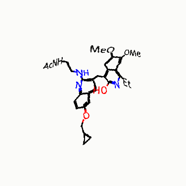 CCc1nc(O)c(Cc2cc3cc(OCC4CC4)ccc3nc2NCCNC(C)=O)c2cc(OC)c(OC)cc12